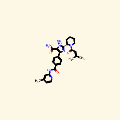 CC(C)=CC(=O)N1CCCC[C@H]1c1nc(-c2ccc(C(=O)Nc3cc(C)ccn3)cc2)c(C(N)=O)n1N